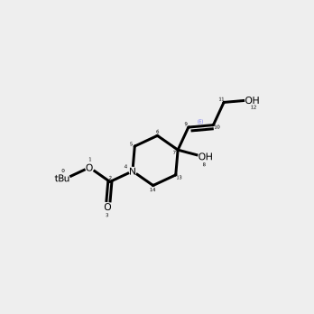 CC(C)(C)OC(=O)N1CCC(O)(/C=C/CO)CC1